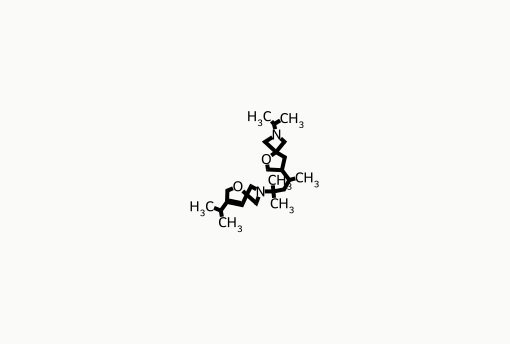 CC(C)C1=CC2(CN(C(C)(C)CC(C)C3COC4(C3)CN(C(C)C)C4)C2)OC1